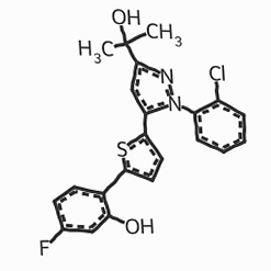 CC(C)(O)c1cc(-c2ccc(-c3ccc(F)cc3O)s2)n(-c2ccccc2Cl)n1